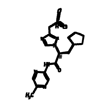 Cc1cnc(NC(=O)[C@H](CC2CCCC2)n2cnc(C[SH](=O)=O)n2)cn1